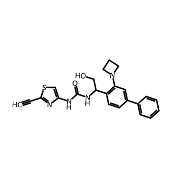 C#Cc1nc(NC(=O)NC(CO)c2ccc(-c3ccccc3)cc2N2CCC2)cs1